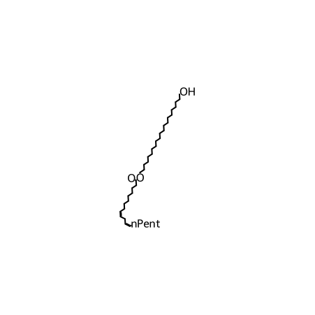 CCCCC/C=C\C/C=C\CCCCCCCC(=O)OCCCCCCCCCCCCCCCCCCCCCO